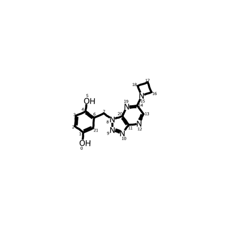 Oc1ccc(O)c(Cn2nnc3ncc(N4CCC4)nc32)c1